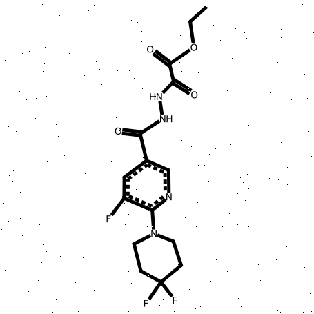 CCOC(=O)C(=O)NNC(=O)c1cnc(N2CCC(F)(F)CC2)c(F)c1